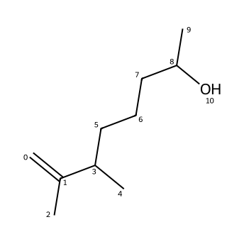 C=C(C)C(C)CCCC(C)O